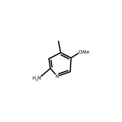 COc1cnc(N)cc1C